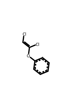 Cl/C=C(\Cl)Oc1[c]cccc1